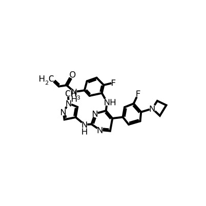 C=CC(=O)Nc1ccc(F)c(Nc2nc(Nc3cnn(C)c3)ncc2-c2ccc(N3CCC3)c(F)c2)c1